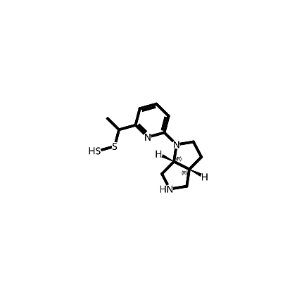 CC(SS)c1cccc(N2CC[C@@H]3CNC[C@@H]32)n1